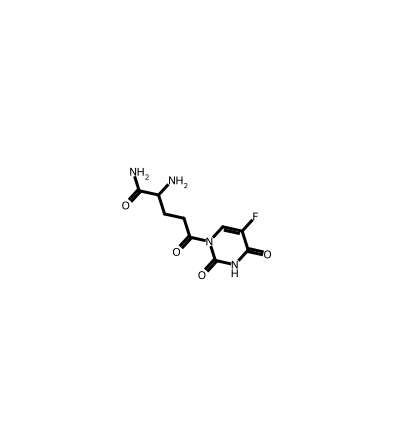 NC(=O)C(N)CCC(=O)n1cc(F)c(=O)[nH]c1=O